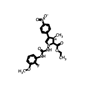 CCOC(=O)C1[C@H](C)C(c2ccc([N+](=O)[O-])cc2)=CN1NC(=O)Nc1cccc(OC)c1F